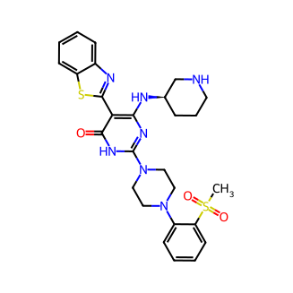 CS(=O)(=O)c1ccccc1N1CCN(c2nc(N[C@@H]3CCCNC3)c(-c3nc4ccccc4s3)c(=O)[nH]2)CC1